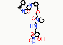 O=C1COc2c(CCNCCN(C(=O)CCOCCc3cccc(CN4CCC5(CC4)CN(C[C@@H]4C[C@H]4c4ccccc4)CCO5)c3)C3CCCCC3)ccc(O)c2N1